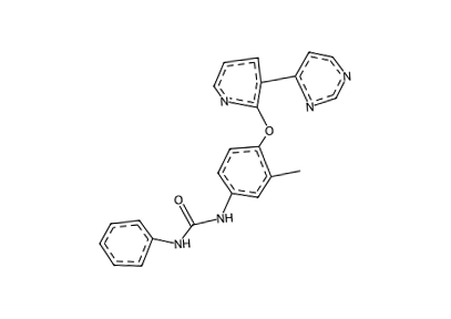 Cc1cc(NC(=O)Nc2ccccc2)ccc1Oc1ncccc1-c1ccncn1